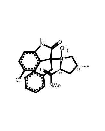 CNC(=O)[C@@H]1C[C@@H](F)C[N+]1(C)C1(Cc2ccccc2)C(=O)Nc2ccc(Cl)cc21